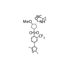 CO[C@@H]1CC(S(=O)(=O)c2ccc(-c3cc(C)sc3C)cc2C(F)(F)F)C[C@H]1C(=O)NC1(C#N)CC1